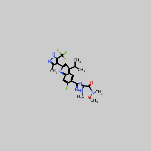 CON(C)C(=O)c1nc(-c2cc3c(C(C)C)cc(-c4c(C)n[nH]c4C(F)(F)F)nc3cc2F)nn1C